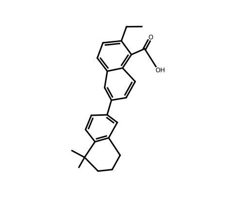 CCc1ccc2cc(-c3ccc4c(c3)CCCC4(C)C)ccc2c1C(=O)O